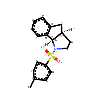 Cc1ccc(S(=O)(=O)N2CC[C@@H]3Cc4ccccc4[C@@H]32)cc1